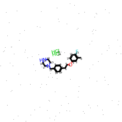 Cc1cc(OCCc2ccc(CN3CCNCC3)cc2)ccc1F.Cl.Cl